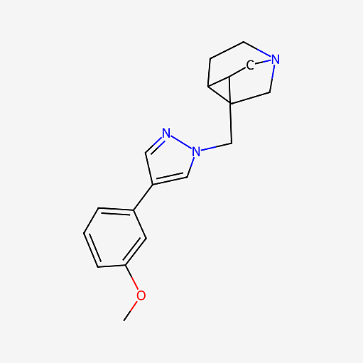 COc1cccc(-c2cnn(CC3CN4CCC3CC4)c2)c1